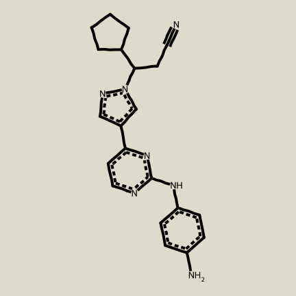 N#CCC(C1CCCC1)n1cc(-c2ccnc(Nc3ccc(N)cc3)n2)cn1